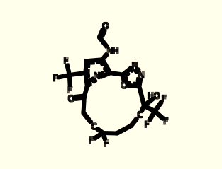 O=CNc1cc(C(F)(F)F)c2nc1-c1nnc(o1)C(O)(C(F)(F)F)CCCC(F)(F)CCC2=O